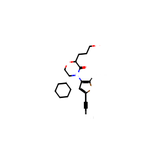 CC(C)(C)C#Cc1cc(N2C(=O)C(CCCO)OC[C@H]2C2CCCCC2)c(C(=O)O)s1